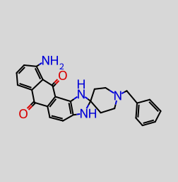 Nc1cccc2c1C(=O)c1c(ccc3c1NC1(CCN(Cc4ccccc4)CC1)N3)C2=O